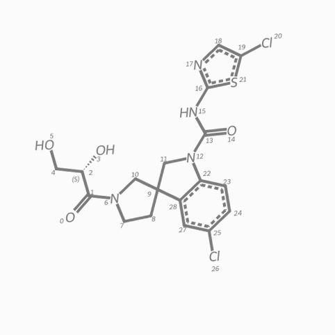 O=C([C@@H](O)CO)N1CCC2(C1)CN(C(=O)Nc1ncc(Cl)s1)c1ccc(Cl)cc12